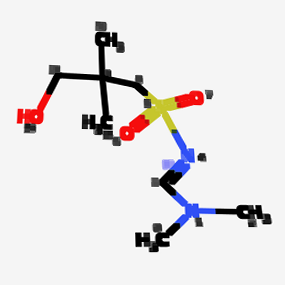 CN(C)/C=N/S(=O)(=O)CC(C)(C)CO